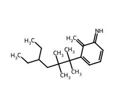 C=C1C(=N)C=CC=C1C(C)(C)C(C)(C)CC(CC)CC